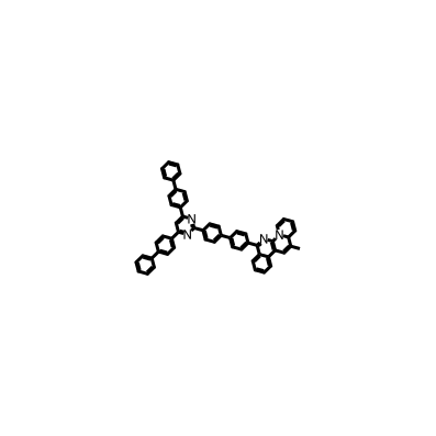 CC1=Cc2c(nc(-c3ccc(-c4ccc(-c5nc(-c6ccc(-c7ccccc7)cc6)cc(-c6ccc(-c7ccccc7)cc6)n5)cc4)cc3)c3ccccc23)N2C=CC=CC12